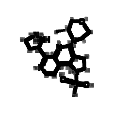 C[C@@H]1COCCN1c1nc2c(C3CCNN3)nccc2c2c1CCN2S(C)(=O)=O